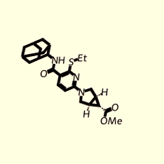 CCSc1nc(N2C[C@@H]3[C@H](C2)[C@H]3C(=O)OC)ccc1C(=O)NC1C2CC3CC(C2)CC1C3